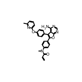 C=CC(=O)N(C)c1ccc(-c2oc3ncnc(N)c3c2-c2ccc(Oc3cccc(C)n3)cc2)cc1